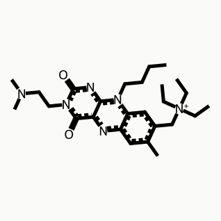 CCCCn1c2nc(=O)n(CCN(C)C)c(=O)c-2nc2cc(C)c(C[N+](CC)(CC)CC)cc21